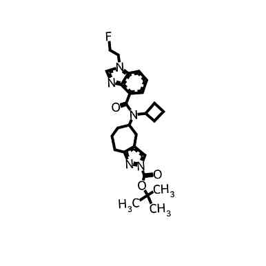 CC(C)(C)OC(=O)n1cc2c(n1)CCCC(N(C(=O)c1cccc3c1ncn3CCF)C1CCC1)C2